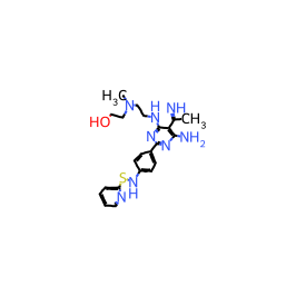 CC(=N)c1c(N)nc(-c2ccc(NSc3ccccn3)cc2)nc1NCCN(C)CCO